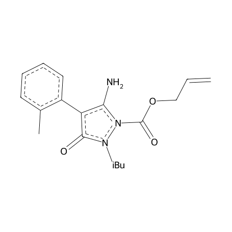 C=CCOC(=O)n1c(N)c(-c2ccccc2C)c(=O)n1C(C)CC